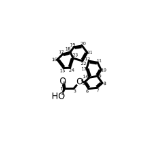 O=C(O)COc1cccc2ccccc12.c1ccc2ccccc2c1